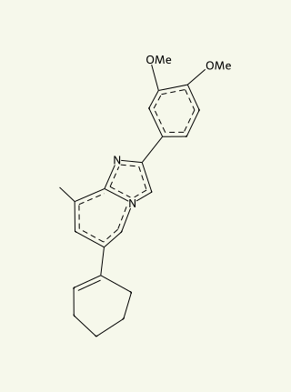 COc1ccc(-c2cn3cc(C4=CCCCC4)cc(C)c3n2)cc1OC